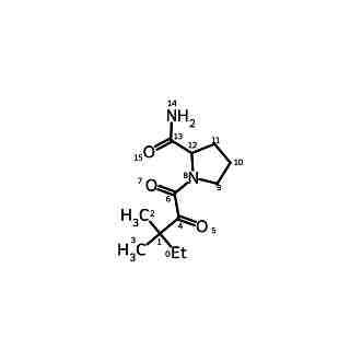 CCC(C)(C)C(=O)C(=O)N1CCCC1C(N)=O